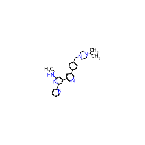 CCNc1cc(-c2cncc(-c3ccc(CN4CCN(C(C)C)CC4)cc3)c2)cc(-c2ccccn2)n1